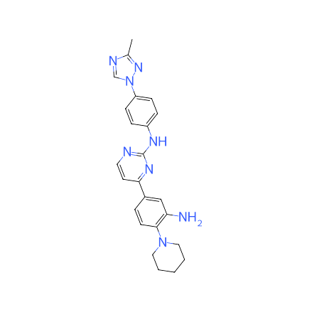 Cc1ncn(-c2ccc(Nc3nccc(-c4ccc(N5CCCCC5)c(N)c4)n3)cc2)n1